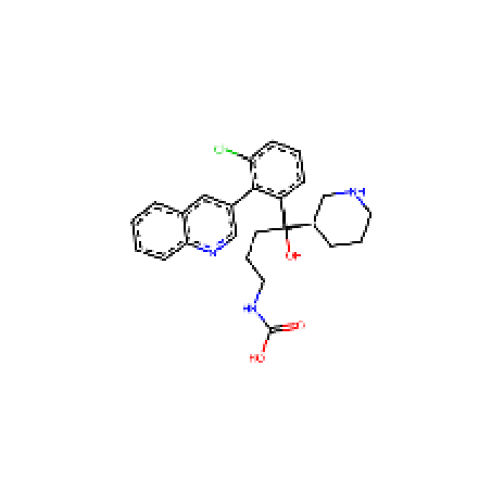 O=C(O)NCCCC(O)(c1cccc(Cl)c1-c1cnc2ccccc2c1)[C@@H]1CCCNC1